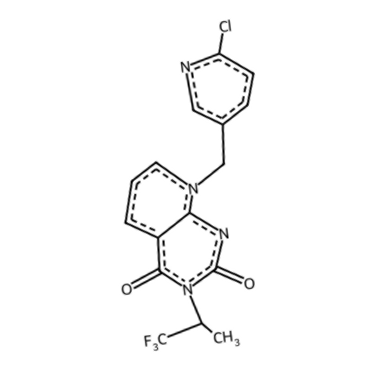 CC(n1c(=O)nc2n(Cc3ccc(Cl)nc3)cccc-2c1=O)C(F)(F)F